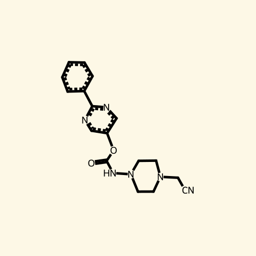 N#CCN1CCN(NC(=O)Oc2cnc(-c3ccccc3)nc2)CC1